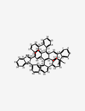 CC1(C)c2ccccc2-c2cc3c(-c4ccccc4-c4ccccc4)c4ccc(-c5nc6ccccc6n5-c5ccccc5)cc4c(-c4ccccc4-c4ccccc4)c3cc21